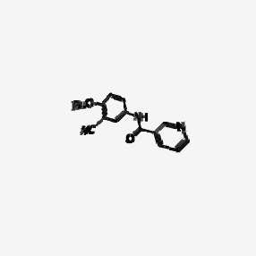 CC(C)COc1ccc(NC(=O)c2cccnc2)cc1C#N